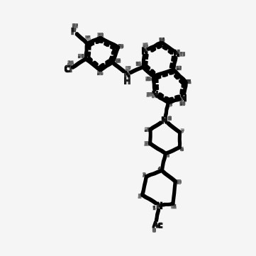 CC(=O)N1CCC(C2CCN(c3ncc4ncnc(Nc5ccc(F)c(Cl)c5)c4n3)CC2)CC1